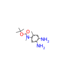 Cc1cc(N)c(N)cc1N(C)C(=O)OC(C)(C)C